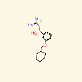 N=C(N)C[C@@H](O)c1cccc(OCC2CCCCC2)c1